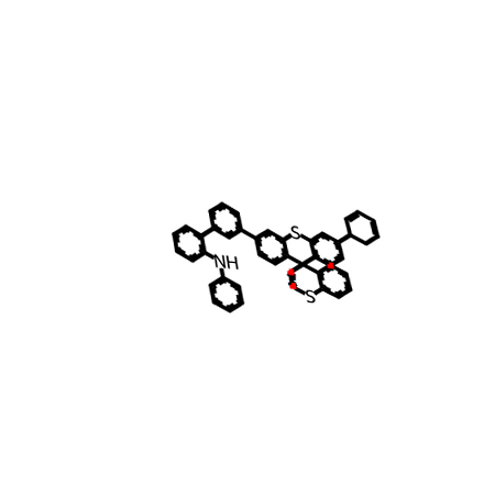 C1=CCC(c2ccc3c(c2)Sc2cc(-c4cccc(-c5ccccc5Nc5ccccc5)c4)ccc2C32c3ccccc3Sc3ccccc32)C=C1